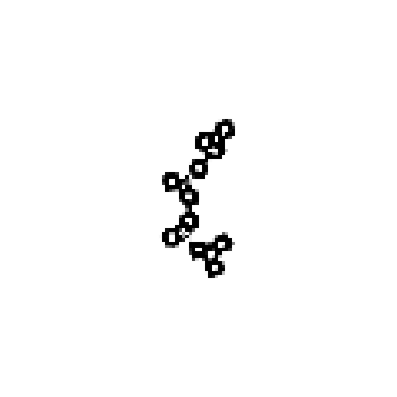 c1ccc2c(c1)-c1cccc3c(-c4ccc(-n5c6ccccc6c6cc(-c7ccc8c(c7)c7ccccc7n8-c7ccc8c9ccccc9c9ccccc9c8c7)ccc65)cc4)ccc-2c13